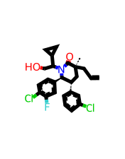 C=CC[C@@]1(C)C[C@H](c2cccc(Cl)c2)[C@@H](c2ccc(Cl)c(F)c2)N(C(CO)C2CC2)C1=O